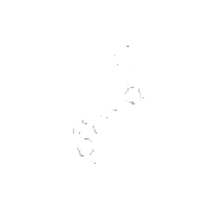 O=c1[nH]c2ccc(Br)cc2cc1OCCOc1cncc(COC2CCCCO2)c1